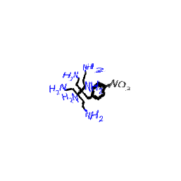 NCCC(N)C(CCN)(Cc1ccc([N+](=O)[O-])cc1)C(N)(CCN)CCN